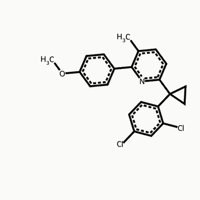 COc1ccc(-c2nc(C3(c4ccc(Cl)cc4Cl)CC3)ccc2C)cc1